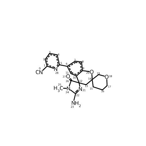 [C-]#[N+]c1cccc(-c2ccc3c(c2)C2(CC4(CCCOC4)O3)N=C(N)N(C)C2=O)n1